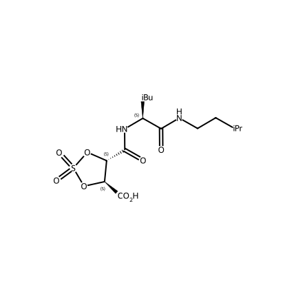 CCC(C)[C@H](NC(=O)[C@H]1OS(=O)(=O)O[C@@H]1C(=O)O)C(=O)NCCC(C)C